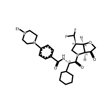 CCN1CCN(c2ccc(C(=O)N[C@H](C(=O)N3C[C@@H](C(F)F)[C@H]4OCC(=O)[C@H]43)C3CCCCC3)cc2)CC1